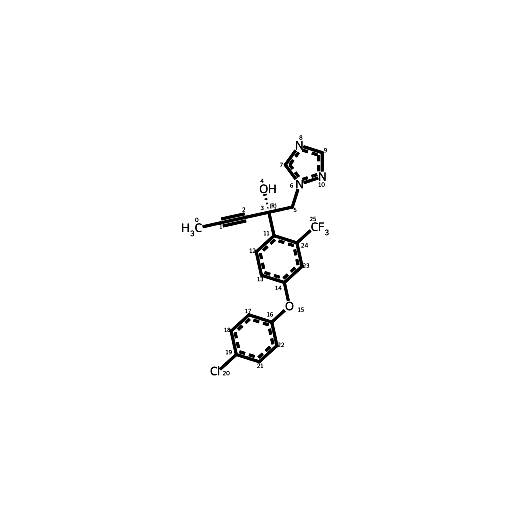 CC#C[C@@](O)(Cn1cncn1)c1ccc(Oc2ccc(Cl)cc2)cc1C(F)(F)F